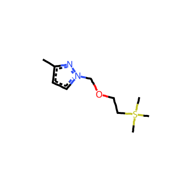 Cc1ccn(COCCS(C)(C)C)n1